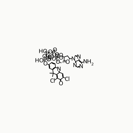 CC1(C)C2=C(Cl)C(=O)C(Cl)=CC2=Nc2ccc(OP(=O)(O)OP(=O)(O)OP(=O)(O)OP(=O)(O)OC[C@H]3OC(n4cnc5c(N)ncnc54)CC3O)cc21